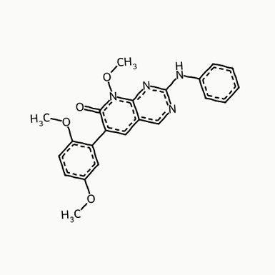 COc1ccc(OC)c(-c2cc3cnc(Nc4ccccc4)nc3n(OC)c2=O)c1